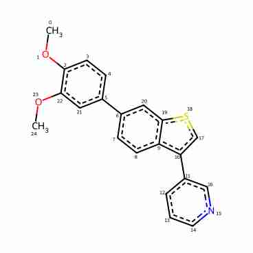 COc1ccc(-c2ccc3c(-c4cccnc4)csc3c2)cc1OC